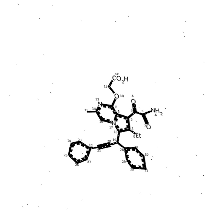 CCc1c(C(=O)C(N)=O)c2c(OCC(=O)O)nc(C)cn2c1C(C#Cc1ccccc1)c1ccccc1